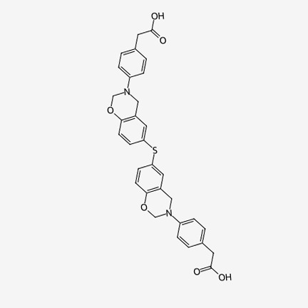 O=C(O)Cc1ccc(N2COc3ccc(Sc4ccc5c(c4)CN(c4ccc(CC(=O)O)cc4)CO5)cc3C2)cc1